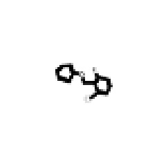 Fc1cccc(Cl)c1COc1c[c]ccc1